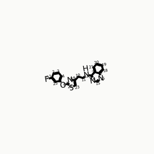 Fc1cccc(Oc2nc(CCNc3ncnc4ccccc34)cs2)c1